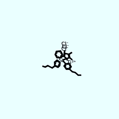 CCCCc1ccc([Si](c2ccccc2)(c2ccc(CCCC)cc2)[C]2([Ti+3])C(C)=C(C)C(C)=C2C)cc1.[Cl-].[Cl-].[Cl-]